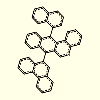 c1ccc2c(-c3c4ccccc4c(-c4cc5ccccc5c5ccccc45)c4cnc5ccccc5c34)cccc2c1